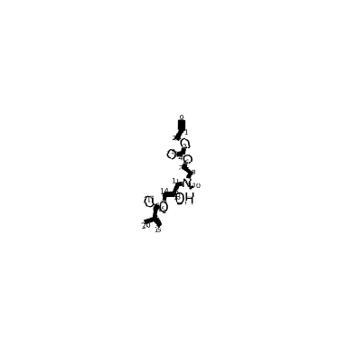 C#CCOC(=O)OCCN(C)CC(O)COC(=O)C(=C)C